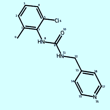 Cc1cccc(Cl)c1NC(=O)NCc1ccncc1